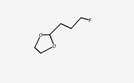 FCCCC1OCCO1